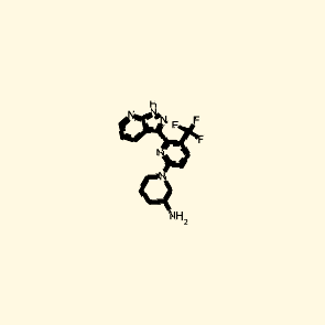 NC1CCCN(c2ccc(C(F)(F)F)c(-c3n[nH]c4ncccc34)n2)C1